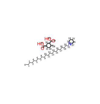 CCCCCCCCCCCCCCCCCCCCCC[n+]1ccccc1.Cc1ccc(C(=O)O)cc1C(=O)O